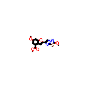 COC(=O)c1cc(OC)cc2oc(-c3cn4nc(OC)sc4n3)cc12